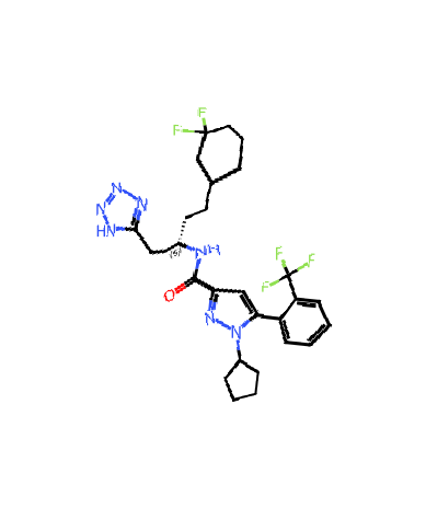 O=C(N[C@@H](CCC1CCCC(F)(F)C1)Cc1nnn[nH]1)c1cc(-c2ccccc2C(F)(F)F)n(C2CCCC2)n1